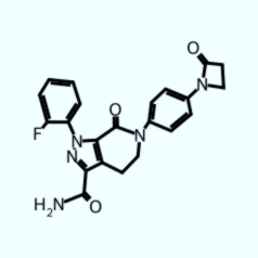 NC(=O)c1nn(-c2ccccc2F)c2c1CCN(c1ccc(N3CCC3=O)cc1)C2=O